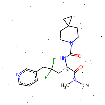 CN(C#N)C(=O)[C@H](CC(F)(F)Cc1cccnc1)NC(=O)N1CCC2(CC1)CC2